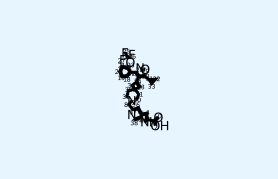 O=C(O)c1cc2cc(CN3CCC4(C=C(c5c(-c6ccccc6OC(F)(F)F)noc5C5CC5)C4)CC3)ncc2[nH]1